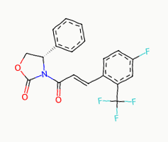 O=C(/C=C/c1ccc(F)cc1C(F)(F)F)N1C(=O)OC[C@@H]1c1ccccc1